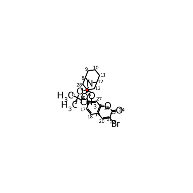 CC(C)(C)OC(=O)N1C2CCCC1CC(Oc1ccc3cc(Br)c(=O)oc3c1)C2